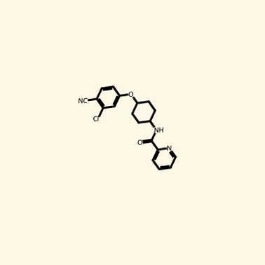 N#Cc1ccc(OC2CCC(NC(=O)c3ccccn3)CC2)cc1Cl